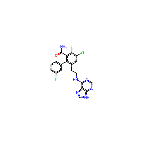 Cc1c(Cl)cc(CCNc2ncnc3[nH]cnc23)c(-c2cccc(F)c2)c1C(N)=O